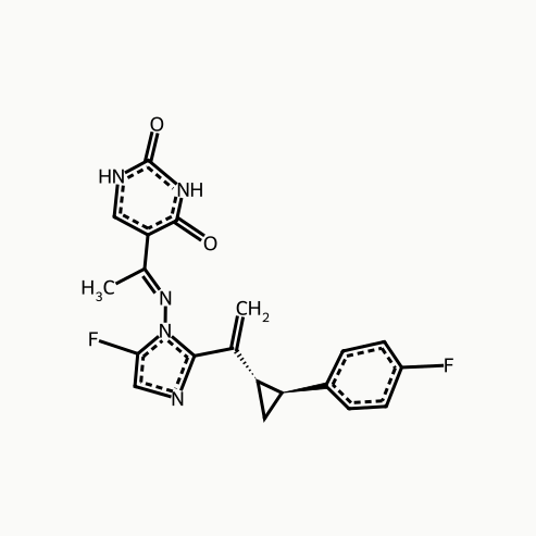 C=C(c1ncc(F)n1/N=C(\C)c1c[nH]c(=O)[nH]c1=O)[C@H]1C[C@@H]1c1ccc(F)cc1